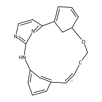 C1=CC2CC(=C1)c1ccnc(n1)Nc1cccc(c1)/C=C\CCO2